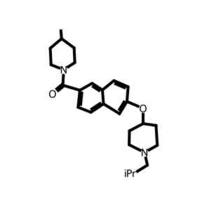 CC(C)CN1CCC(Oc2ccc3cc(C(=O)N4CCC(C)CC4)ccc3c2)CC1